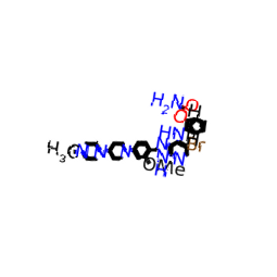 COc1cc(N2CCC(N3CCN(C)CC3)CC2)ccc1-c1nc2c(N[C@H]3[C@@H](OC(N)=O)[C@@H]4C=C[C@H]3C4)c(Br)cnc2[nH]1